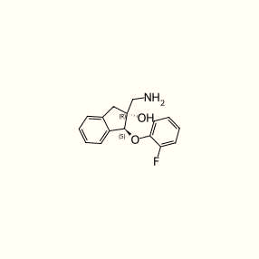 NC[C@]1(O)Cc2ccccc2[C@@H]1Oc1ccccc1F